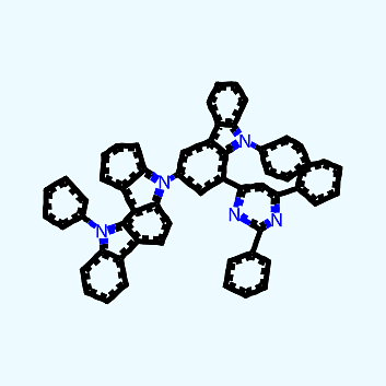 c1ccc(-c2cc(-c3cc(-n4c5ccccc5c5c4ccc4c6ccccc6n(-c6ccccc6)c45)cc4c5ccccc5n(-c5ccccc5)c34)nc(-c3ccccc3)n2)cc1